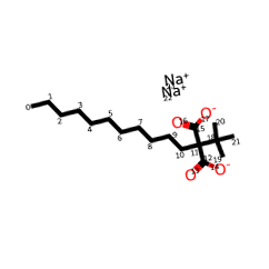 CCCCCCCCCCCC(C(=O)[O-])(C(=O)[O-])C(C)(C)C.[Na+].[Na+]